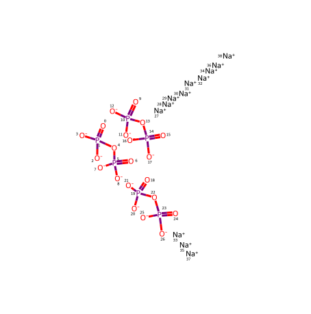 O=P([O-])([O-])OP(=O)([O-])[O-].O=P([O-])([O-])OP(=O)([O-])[O-].O=P([O-])([O-])OP(=O)([O-])[O-].[Na+].[Na+].[Na+].[Na+].[Na+].[Na+].[Na+].[Na+].[Na+].[Na+].[Na+].[Na+]